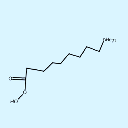 CCCCCCCCCCCCCCCC(=O)OO